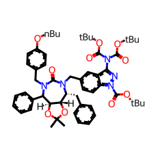 CCCCOc1ccc(CN2C(=O)N(Cc3ccc4c(c3)c(N(C(=O)OC(C)(C)C)C(=O)OC(C)(C)C)nn4C(=O)OC(C)(C)C)[C@H](Cc3ccccc3)[C@@H]3OC(C)(C)O[C@H]3C2c2ccccc2)cc1